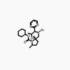 CC(=O)N(CC1(C)CCC(C)N1C(=O)OC1CCCCC1)C(c1ncccn1)C(C)O